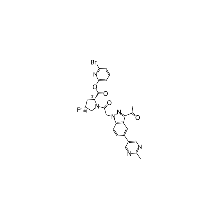 CC(=O)c1nn(CC(=O)N2C[C@H](F)C[C@H]2C(=O)Oc2cccc(Br)n2)c2ccc(-c3cnc(C)nc3)cc12